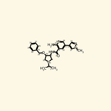 CC(C)N1CC(NC(=O)c2cc(-c3cnn(C)c3)cnc2N)C(OCc2ccccc2)C1